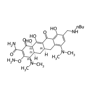 CCCCNCc1cc(N(C)C)c2c(c1O)C(=O)C1=C(O)[C@]3(O)C(=O)C(C(N)=O)=C(ON)[C@H](N(C)C)[C@@H]3C[C@@H]1C2